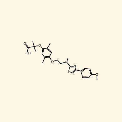 COc1ccc(-c2csc(N(C)CCOc3cc(C)c(OC(C)(C)C(=O)O)cc3C)n2)cc1